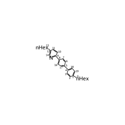 CCCCCCc1ccc(-c2ccc(-c3ccc(CCCCCC)cn3)cc2)cc1